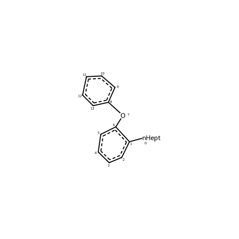 CCCCCCCc1ccccc1Oc1ccccc1